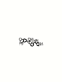 O=C(O)N(Cc1cccc(-c2ncnc3[nH]ccc23)c1)c1ccc(Cl)c(C(F)(F)F)c1